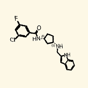 O=C(N[C@@H]1CC[C@H](NCc2cc3ccccc3[nH]2)C1)c1cc(F)cc(Cl)c1